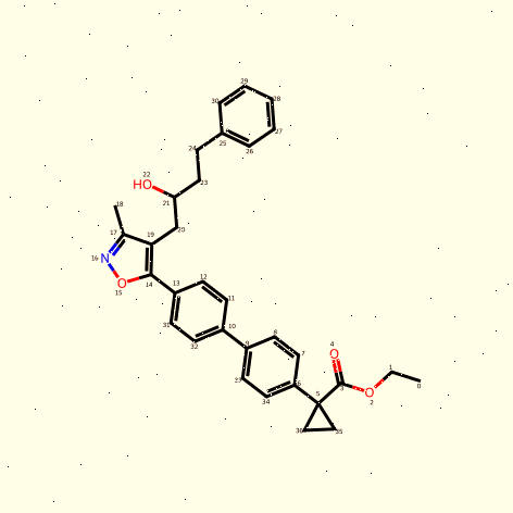 CCOC(=O)C1(c2ccc(-c3ccc(-c4onc(C)c4CC(O)CCc4ccccc4)cc3)cc2)CC1